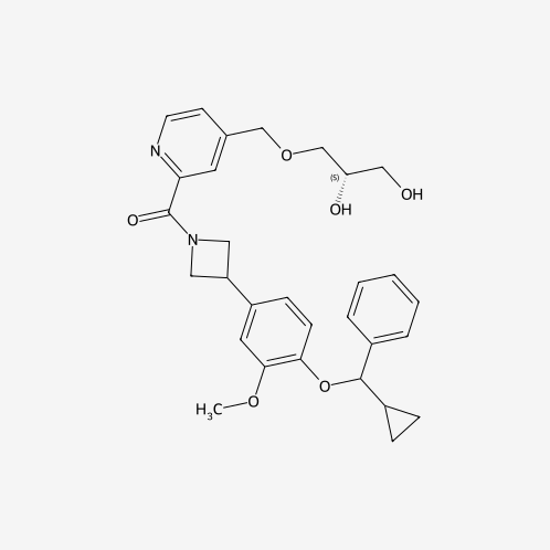 COc1cc(C2CN(C(=O)c3cc(COC[C@@H](O)CO)ccn3)C2)ccc1OC(c1ccccc1)C1CC1